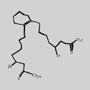 CCC(CCCCC1=C(CCCCC(CC)CC(=O)C(=O)O)CCCC1)CC(=O)C(=O)O